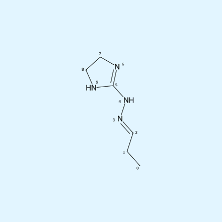 CCC=NNC1=NCCN1